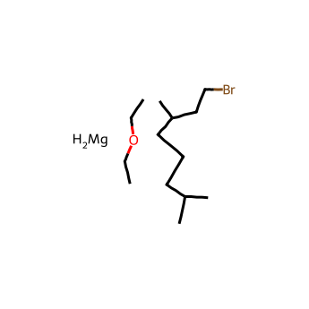 CC(C)CCCC(C)CCBr.CCOCC.[MgH2]